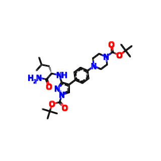 CC(C)C[C@H](Nc1nn(C(=O)OC(C)(C)C)cc1-c1ccc(N2CCN(C(=O)OC(C)(C)C)CC2)cc1)C(N)=O